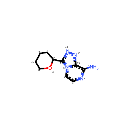 Nc1nccn2c(C3CCCCO3)nnc12